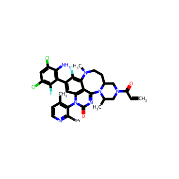 C=CC(=O)N1CC(C)N2c3nc(=O)n(-c4c(C)ccnc4C(C)C)c4cc(-c5c(N)c(Cl)cc(Cl)c5F)c(F)c(c34)N(C)CCC2C1